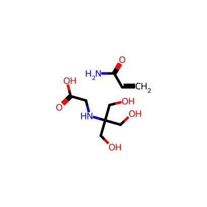 C=CC(N)=O.O=C(O)CNC(CO)(CO)CO